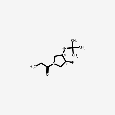 CCC(=O)N1C[C@H](F)[C@H](NC(C)(C)C)C1